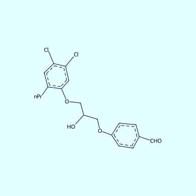 CCCc1cc(Cl)c(Cl)cc1OCC(O)COc1ccc(C=O)cc1